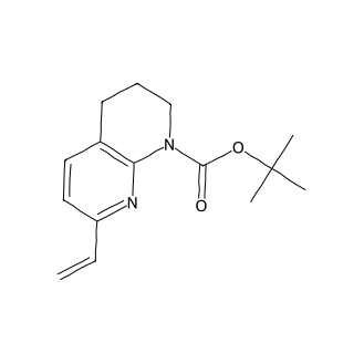 C=Cc1ccc2c(n1)N(C(=O)OC(C)(C)C)CCC2